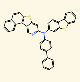 c1ccc(-c2ccc(N(c3ccc4c(c3)sc3ccccc34)c3cc4sc5ccc6ccccc6c5c4cn3)cc2)cc1